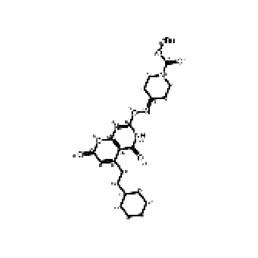 CC(C)(C)OC(=O)N1CCC(=NOc2nc3oc(=O)cc(CCC4CCCCC4)c3c(=O)[nH]2)CC1